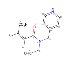 C/C(C(=O)O)=C(\C)C(=O)N(CC=O)Cc1ccncc1